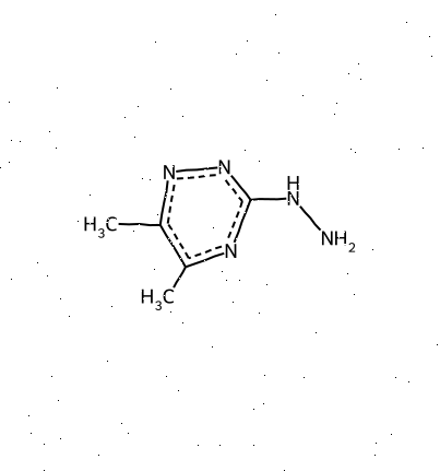 Cc1nnc(NN)nc1C